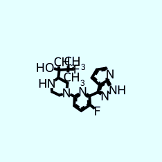 CC(C)(F)C(C)(O)C1CN(c2ccc(F)c(-c3n[nH]c4ncccc34)n2)CCN1